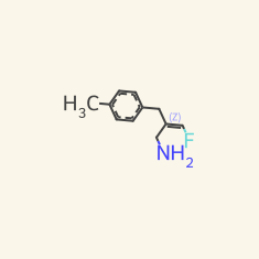 Cc1ccc(C/C(=C/F)CN)cc1